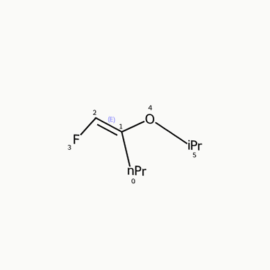 CCC/C(=C\F)OC(C)C